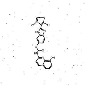 O=C(Nc1ccc2cccc(O)c2n1)Oc1ccc2nc(-c3c(Cl)cccc3Cl)[nH]c2c1